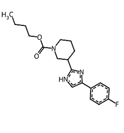 CCCCOC(=O)N1CCCC(c2nc(-c3ccc(F)cc3)c[nH]2)C1